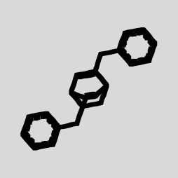 C1=C(Cc2ccccc2)C2C=C(Cc3ccccc3)C1CC2